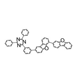 c1ccc(-c2nc(-c3ccccc3)nc(-c3cccc(-c4ccc5oc6c(-c7ccc8c(c7)oc7ccccc78)cccc6c5c4)c3)n2)cc1